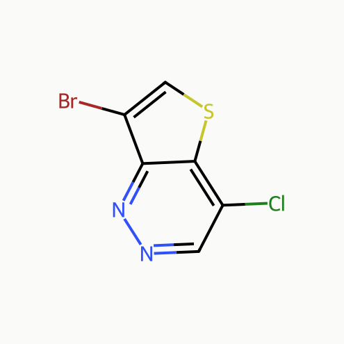 Clc1cnnc2c(Br)csc12